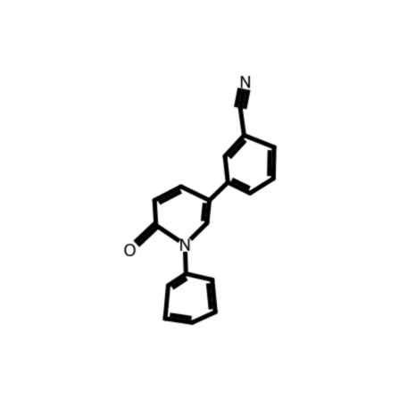 N#Cc1cccc(-c2ccc(=O)n(-c3ccccc3)c2)c1